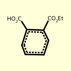 [CH2]COC(=O)c1ccccc1C(=O)O